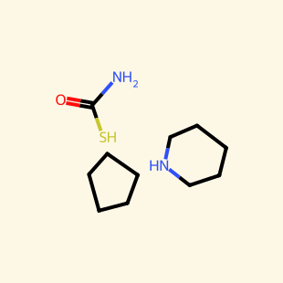 C1CCCC1.C1CCNCC1.NC(=O)S